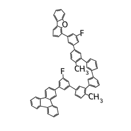 Cc1ccc(-c2cc(F)cc(-c3ccc4c5ccccc5c5ccccc5c4c3)c2)cc1-c1cccc(-c2cccc(-c3cc(-c4cc(F)cc(-c5cccc6c5oc5ccccc56)c4)ccc3C)c2)c1